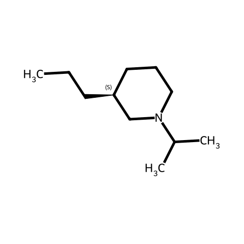 CCC[C@H]1CCCN(C(C)C)C1